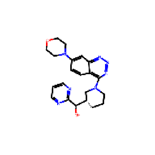 O[C@@H](c1ncccn1)[C@H]1CCCN(c2nnnc3cc(N4CCOCC4)ccc23)C1